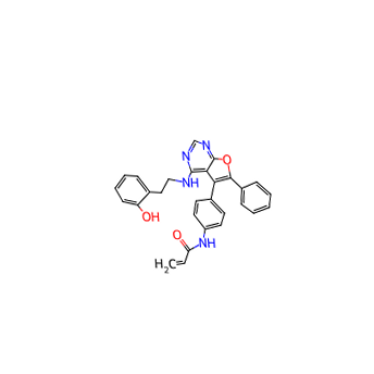 C=CC(=O)Nc1ccc(-c2c(-c3ccccc3)oc3ncnc(NCCc4ccccc4O)c23)cc1